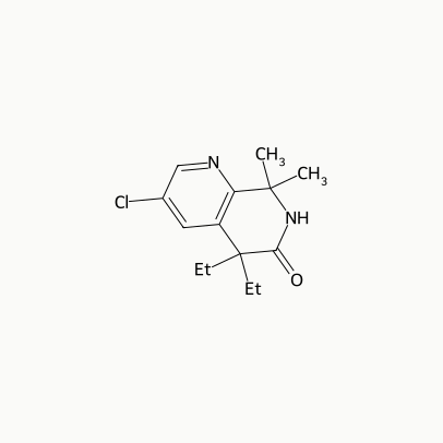 CCC1(CC)C(=O)NC(C)(C)c2ncc(Cl)cc21